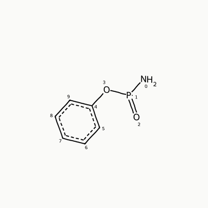 N[P](=O)Oc1ccccc1